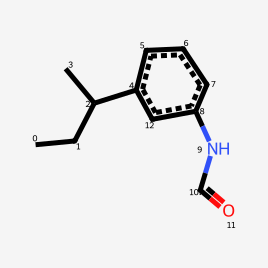 CCC(C)c1cccc(N[C]=O)c1